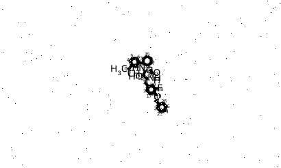 CC(C)c1cccc(C2(NC[C@H](O)[C@H](Cc3ccc(OCc4ccccc4)c(F)c3)NC(=O)O)CCCCC2)c1